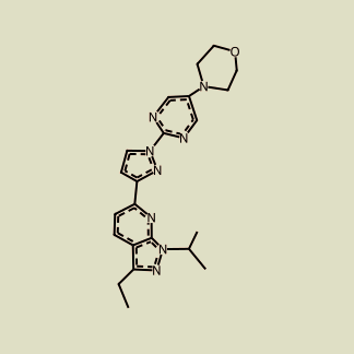 CCc1nn(C(C)C)c2nc(-c3ccn(-c4ncc(N5CCOCC5)cn4)n3)ccc12